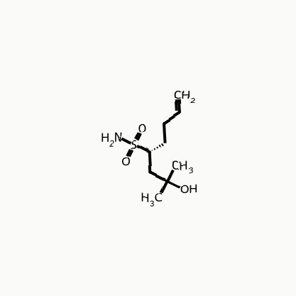 C=CCC[C@H](CC(C)(C)O)S(N)(=O)=O